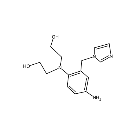 Nc1ccc(N(CCO)CCO)c(Cn2ccnc2)c1